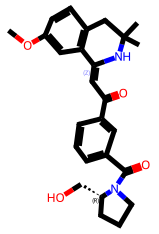 COc1ccc2c(c1)/C(=C/C(=O)c1cccc(C(=O)N3CCC[C@@H]3CO)c1)NC(C)(C)C2